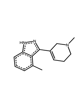 Cc1cccc2[nH]nc(C3=CCCN(C)C3)c12